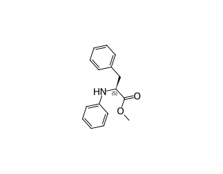 COC(=O)[C@H](Cc1ccccc1)Nc1ccccc1